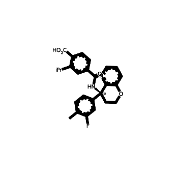 Cc1ccc([C@@]2(NC(=O)c3ccc(C(=O)O)c(C(C)C)c3)CCOc3cccnc32)cc1F